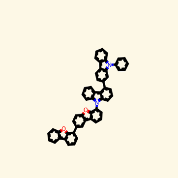 c1ccc(-n2c3ccccc3c3ccc(-c4cccc5c4c4ccccc4n5-c4cccc5c4oc4ccc(-c6cccc7c6oc6ccccc67)cc45)cc32)cc1